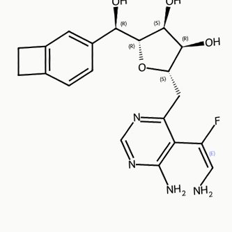 N/C=C(/F)c1c(N)ncnc1C[C@@H]1O[C@H]([C@H](O)c2ccc3c(c2)CC3)[C@@H](O)[C@H]1O